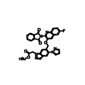 CCCCOC(=O)Cn1ncc2cc(-n3cccn3)c(COc3cc4cc(F)ccc4nc3N3C(=O)c4ccccc4C3=O)cc21